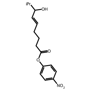 CC(C)C(O)/C=C/CCCC(=O)Oc1ccc([N+](=O)[O-])cc1